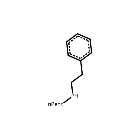 CCCCCPCCc1ccccc1